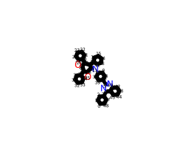 c1ccc(-c2nc(-c3ccc(-n4c5ccccc5c5c6c7ccccc7oc6c6c7ccccc7oc6c54)cc3)nc3ccccc23)cc1